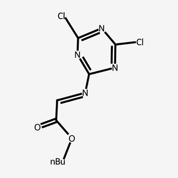 CCCCOC(=O)C=Nc1nc(Cl)nc(Cl)n1